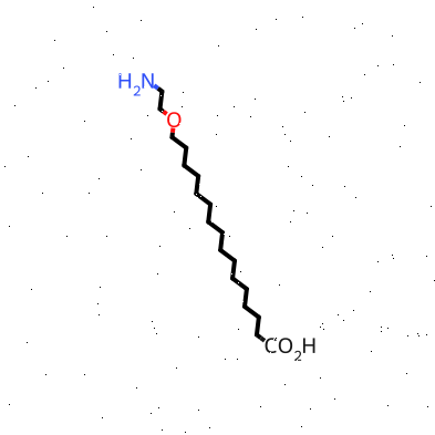 NCCOCCCCCCCCCCCCCCCC(=O)O